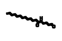 CCCCCCCCCCCCC(=O)NCCCC=O